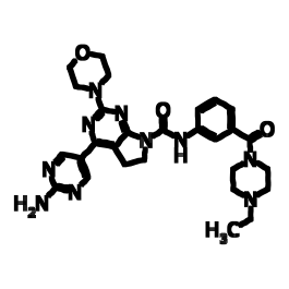 CCN1CCN(C(=O)c2cccc(NC(=O)N3CCc4c(-c5cnc(N)nc5)nc(N5CCOCC5)nc43)c2)CC1